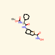 CC(C)(C)OC(=O)N[C@@H](C(=O)Nc1ccc2cc(C(=O)NO)sc2c1)c1ccccc1